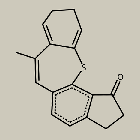 CC1=Cc2ccc3c(c2SC2=CCCC=C12)C(=O)CC3